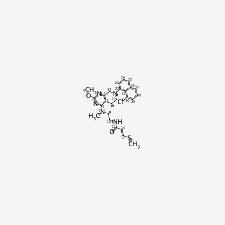 COc1nc2c(c(N(C)CCNC(=O)/C=C/SC)n1)CCN(c1cccc3cccc(Cl)c13)C2